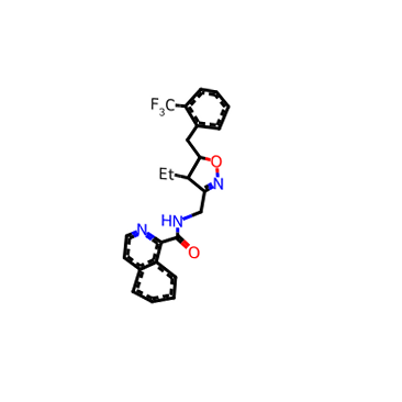 CCC1C(CNC(=O)c2nccc3ccccc23)=NOC1Cc1ccccc1C(F)(F)F